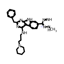 CN/N=C(\N=N)c1ccc2c(c1)[nH]c1nc(Cc3ccccc3)nc(NCCCN3CCCCC3)c12